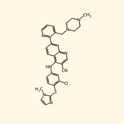 CN1CCN(Cc2cccnc2-c2ccc3c(Nc4ccc(Sc5nccn5C)c(Cl)c4)c(C#N)cnc3c2)CC1